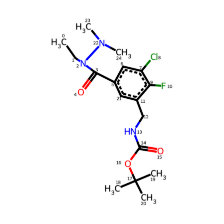 CCN(C(=O)c1cc(Cl)c(F)c(CNC(=O)OC(C)(C)C)c1)N(C)C